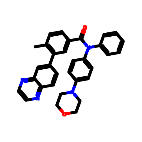 Cc1ccc(C(=O)N(c2ccccc2)c2ccc(N3CCOCC3)cc2)cc1-c1ccc2nccnc2c1